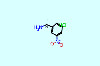 C[C@@H](N)c1cccc([N+](=O)[O-])c1.Cl